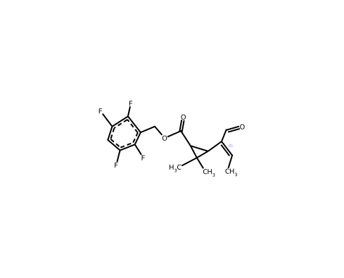 C/C=C(/C=O)C1C(C(=O)OCc2c(F)c(F)cc(F)c2F)C1(C)C